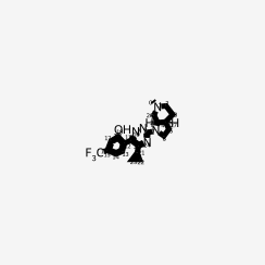 CN1CC[C@H]2CCN(c3nnc(-c4ccc(C(F)(F)F)cc4O)c(C4CC4)n3)[C@H]2C1